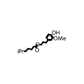 COc1cc(CCCOC(=O)CCCCC(C)C)ccc1O